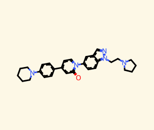 O=c1cc(-c2ccc(N3CCCCC3)cc2)ccn1-c1ccc2c(cnn2CCN2CCCC2)c1